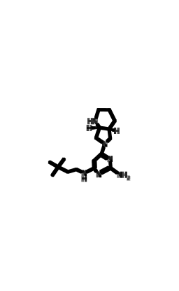 CC(C)(C)CCNc1cc(N2C[C@H]3CCCN[C@H]3C2)nc(N)n1